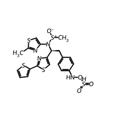 Cc1nc(N([C@@H](Cc2ccc(NO[SH](=O)=O)cc2)c2csc(-c3cccs3)n2)[S+](C)[O-])cs1